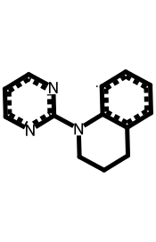 [c]1cccc2c1N(c1ncccn1)CCC2